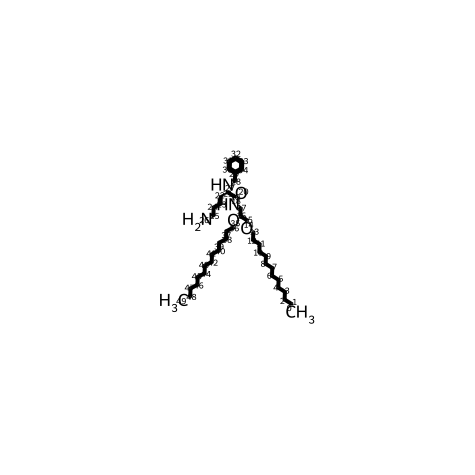 CCCCCCCCCCCCCCOCC(CNC(=O)[C@@H](CCCCN)NCc1ccccc1)OCCCCCCCCCCCCCC